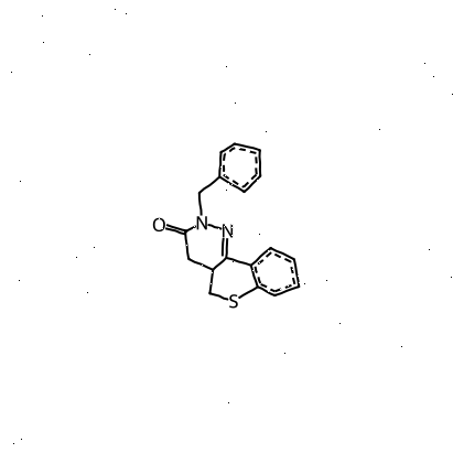 O=C1CC2CSc3ccccc3C2=NN1Cc1ccccc1